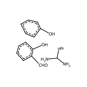 CCCC(N)N.O=Cc1ccccc1O.Oc1ccccc1